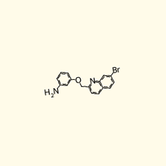 Nc1cccc(OCc2ccc3ccc(Br)cc3n2)c1